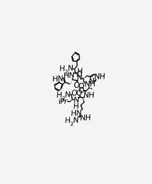 CC(C)C[C@H](NC(=O)[C@H](CCCNC(=N)N)NC(=O)[C@H](C)NC(=O)[C@H](Cc1c[nH]cn1)NC(=O)[C@H](Cc1c[nH]c2ccccc12)NC(=O)[C@@H](N)Cc1ccccc1)C(N)=O